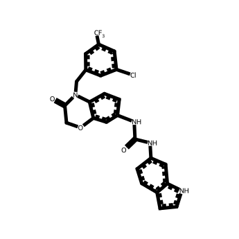 O=C(Nc1ccc2c(c1)OCC(=O)N2Cc1cc(Cl)cc(C(F)(F)F)c1)Nc1ccc2cc[nH]c2c1